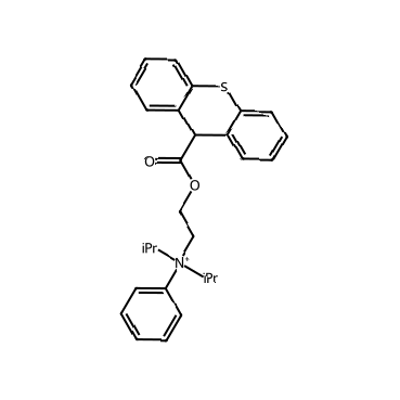 CC(C)[N+](CCOC(=O)C1c2ccccc2Sc2ccccc21)(c1ccccc1)C(C)C